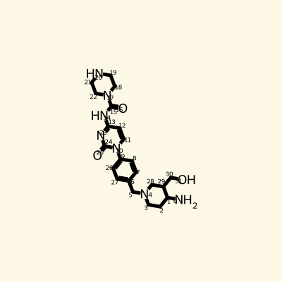 NC1CCN(Cc2ccc(-n3ccc(NC(=O)N4CCNCC4)nc3=O)cc2)CC1CO